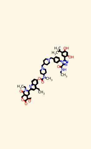 CCNC(=O)c1nnc(-c2cc(C(C)C)c(O)cc2O)n1-c1ccc(CN2CCC(CN3CCC(N(C)C(=O)Oc4ccc5nc(-c6cc7c(c(=O)n6CC)COC(=O)C76CO6)cc(CC)c5c4)CC3)CC2)cc1